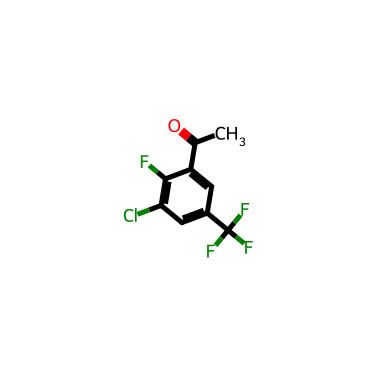 CC(=O)c1cc(C(F)(F)F)cc(Cl)c1F